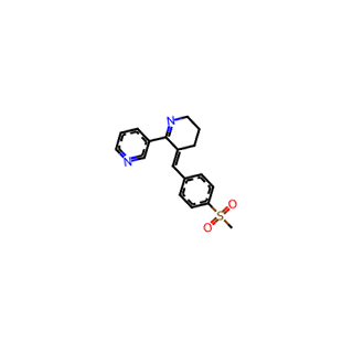 CS(=O)(=O)c1ccc(C=C2CCCN=C2c2cccnc2)cc1